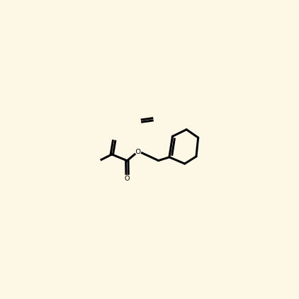 C=C.C=C(C)C(=O)OCC1=CCCCC1